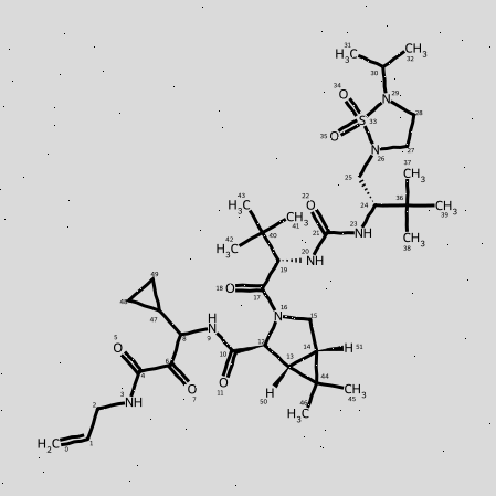 C=CCNC(=O)C(=O)C(NC(=O)[C@@H]1[C@@H]2[C@H](CN1C(=O)[C@@H](NC(=O)N[C@H](CN1CCN(C(C)C)S1(=O)=O)C(C)(C)C)C(C)(C)C)C2(C)C)C1CC1